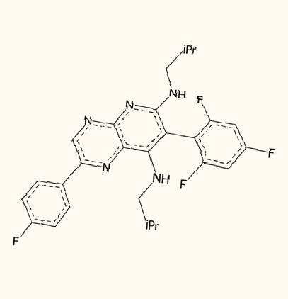 CC(C)CNc1nc2ncc(-c3ccc(F)cc3)nc2c(NCC(C)C)c1-c1c(F)cc(F)cc1F